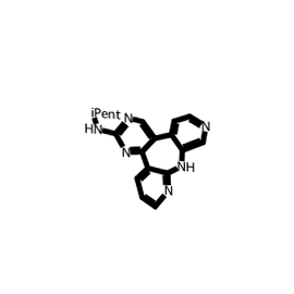 CCCC(C)Nc1ncc2c(n1)-c1cccnc1Nc1cnccc1-2